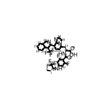 CC[C@@H](Nc1cc(F)c(C(=O)N[C@@H](Cc2ccc(-c3ncc4ccccc4c3C(F)(F)F)c3nccn23)C(=O)O)c(F)c1)C(F)(F)F